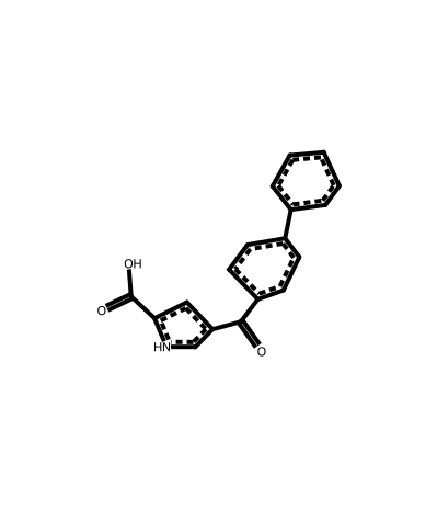 O=C(c1ccc(-c2ccccc2)cc1)c1c[nH]c(C(=O)O)c1